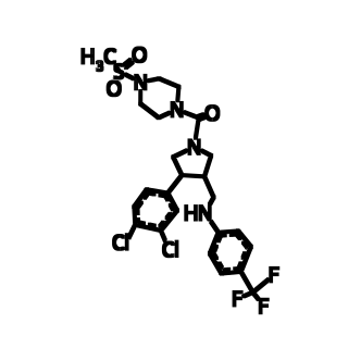 CS(=O)(=O)N1CCN(C(=O)N2CC(CNc3ccc(C(F)(F)F)cc3)C(c3ccc(Cl)c(Cl)c3)C2)CC1